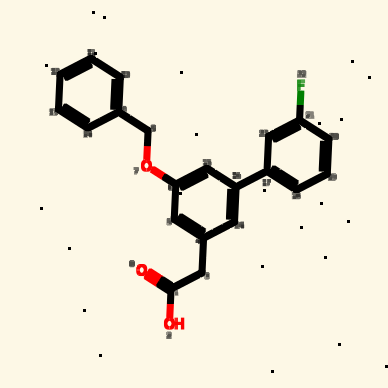 O=C(O)Cc1cc(OCc2ccccc2)cc(-c2cccc(F)c2)c1